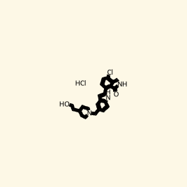 Cl.O=C1NCc2c(Cl)ccc(-c3cc4cc(CN5CCC(CCO)CC5)ccc4[nH]3)c21